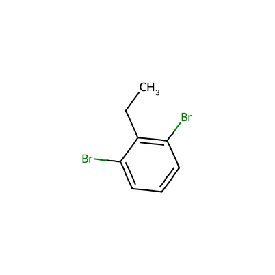 CCc1c(Br)cccc1Br